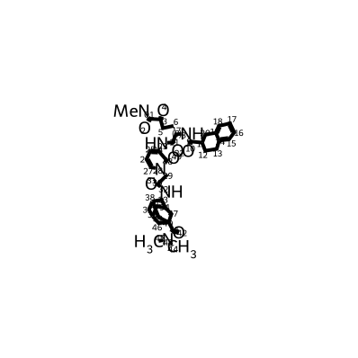 CNC(=O)C(=O)CC[C@H](NC(=O)C1CCc2ccccc2C1)C(=O)Nc1cccn(CC(=O)NC2C3CC4CC2CC(C(=O)N(C)C)(C4)C3)c1=O